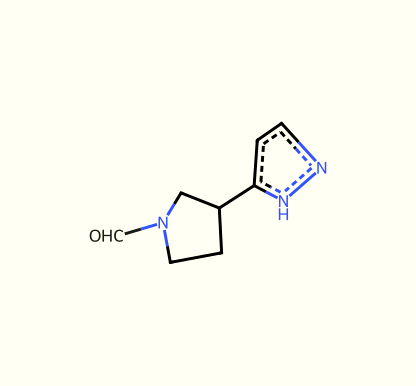 O=CN1CCC(c2ccn[nH]2)C1